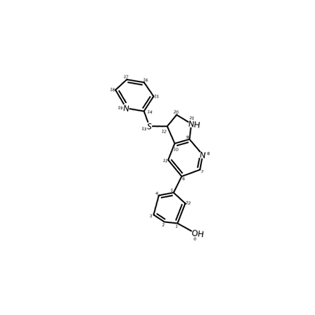 Oc1cccc(-c2cnc3c(c2)C(Sc2ccccn2)CN3)c1